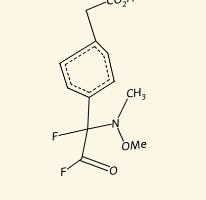 CON(C)C(F)(C(=O)F)c1ccc(CC(=O)O)cc1